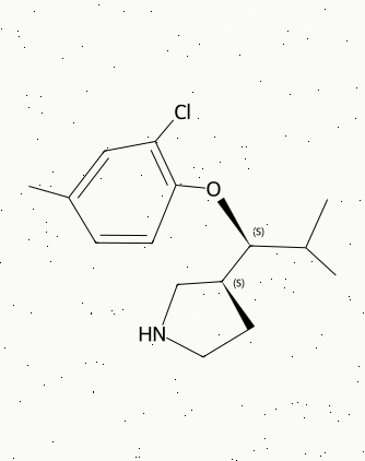 Cc1ccc(O[C@@H](C(C)C)[C@H]2CCNC2)c(Cl)c1